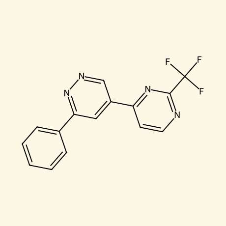 FC(F)(F)c1nccc(-c2cnnc(-c3ccccc3)c2)n1